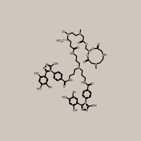 CCN(CCN(C)CC(=O)OCN1OC(=O)CNCCN(C)CC(=O)O1)[C@H](CCC(=O)NCCCN(CCCNC(=O)c1ccc(-n2c(O)nnc2-c2cc(C(C)C)c(O)cc2O)cc1)CCCNC(=O)c1ccc(-n2c(O)nnc2-c2cc(C(C)C)c(O)cc2O)cc1)C(=O)O